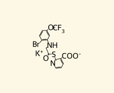 O=C(CNc1cc(OC(F)(F)F)ccc1Br)Sc1ncccc1C(=O)[O-].[K+]